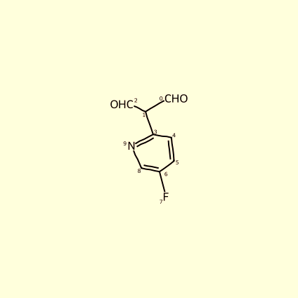 O=CC(C=O)c1ccc(F)cn1